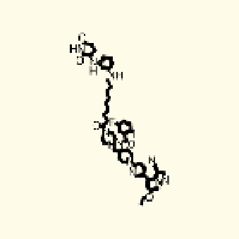 CCOc1cc(-c2ccc(N3CCC(CN4CCN(C(=O)CCCCCCCCNc5cccc(NC6CCC(=O)NC6=O)c5)CC4)(NC(=O)c4cc(F)ccc4F)CC3)nc2)c2c(C#N)cnn2c1